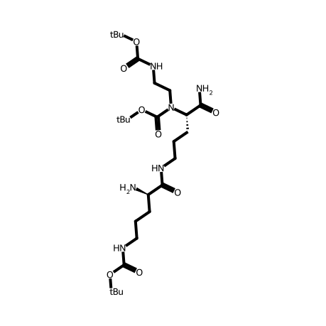 CC(C)(C)OC(=O)NCCC[C@@H](N)C(=O)NCCC[C@@H](C(N)=O)N(CCNC(=O)OC(C)(C)C)C(=O)OC(C)(C)C